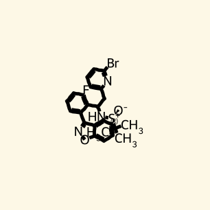 CC(C)(C)[S@+]([O-])NC(Cc1cccc(Br)n1)c1c(F)cccc1-c1noc2ccccc12